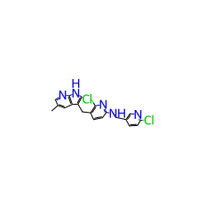 Cc1cnc2[nH]cc(Cc3ccc(NCc4ccc(Cl)nc4)nc3Cl)c2c1